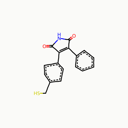 O=C1NC(=O)C(c2ccc(CS)cc2)=C1c1ccccc1